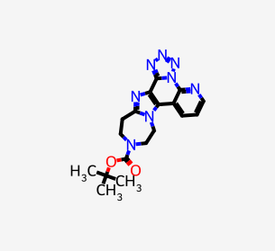 CC(C)(C)OC(=O)N1CCc2nc3c(c4cccnc4n4nnnc34)n2CC1